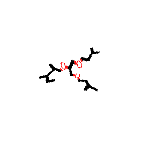 CCC(C)C(C)COC(COCCC(C)C)COCCC(C)C